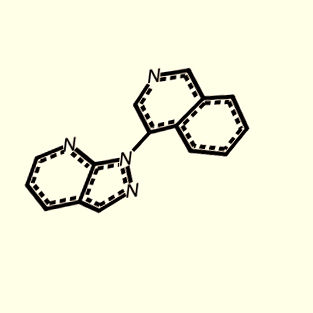 c1ccc2c(-n3ncc4cccnc43)cncc2c1